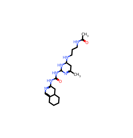 CC(=O)NCCCNC1CC(C)=NC(NC(=O)NC2=NC=C3CCCCC3C2)N1